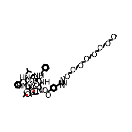 COCCOCCOCCOCCOCCOCCOCCOCn1cc(-c2ccc(C(=O)OC[N+]3(CC(=O)N[C@@H](CCc4ccccc4)C(=O)N[C@@H](CC(C)C)C(=O)N[C@@H](Cc4ccccc4)C(=O)N[C@@H](CC(C)C)C(=O)[C@@]4(C)CO4)CCOCC3)cc2)nn1